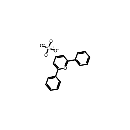 [O-][Cl+3]([O-])([O-])[O-].c1ccc(-c2cccc(-c3ccccc3)[o+]2)cc1